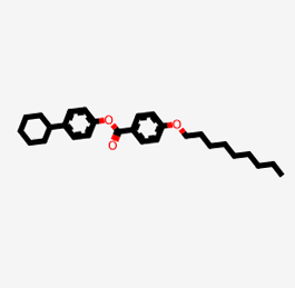 CCCCCCCCCOc1ccc(C(=O)Oc2ccc(C3CCCCC3)cc2)cc1